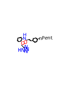 CCCCCc1ccc(/C=C/C(=O)Nc2ccccc2OCc2nnn[nH]2)cc1